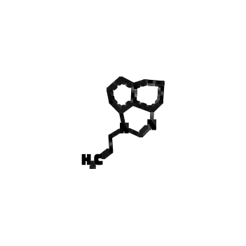 C=CCN1C=Nc2cccc3cccc1c23